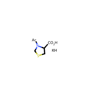 CC(=O)N1CSCC1C(=O)O.[KH]